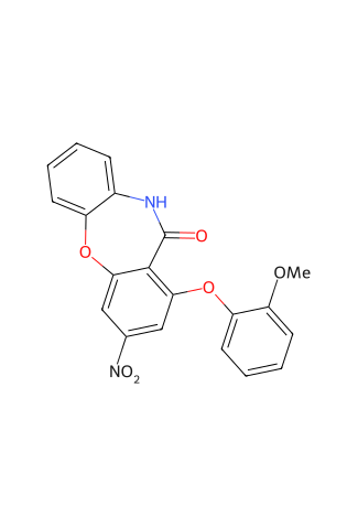 COc1ccccc1Oc1cc([N+](=O)[O-])cc2c1C(=O)Nc1ccccc1O2